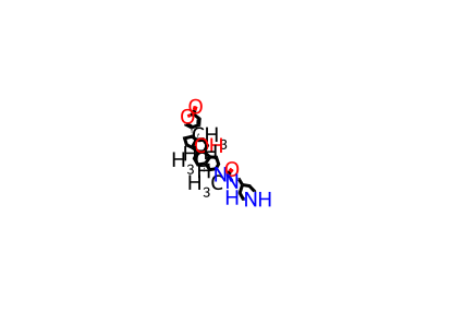 CN(C(=O)NCC1CCNCC1)[C@H]1CC[C@@]2(C)[C@H](CC[C@@H]3[C@@H]2CC[C@]2(C)[C@@H](c4ccc(=O)oc4)CC[C@]32O)C1